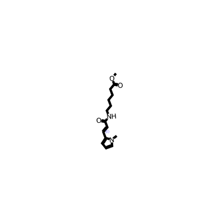 COC(=O)CCCCCNC(=O)/C=C/c1cccn1C